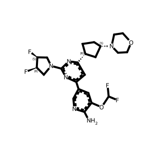 Nc1ncc(-c2cc([C@@H]3CC[C@H](N4CCOCC4)C3)nc(N3C[C@@H](F)[C@@H](F)C3)n2)cc1OC(F)F